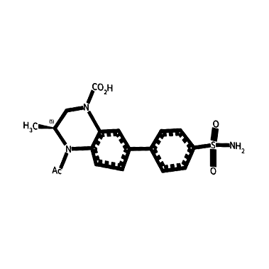 CC(=O)N1c2ccc(-c3ccc(S(N)(=O)=O)cc3)cc2N(C(=O)O)C[C@@H]1C